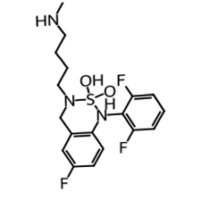 CNCCCCN1Cc2cc(F)ccc2N(c2c(F)cccc2F)S1(O)O